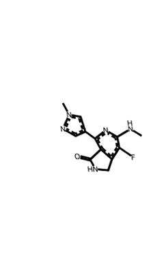 CNc1nc(-c2cnn(C)c2)c2c(c1F)CNC2=O